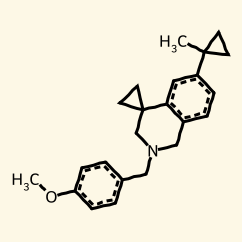 COc1ccc(CN2Cc3ccc(C4(C)CC4)cc3C3(CC3)C2)cc1